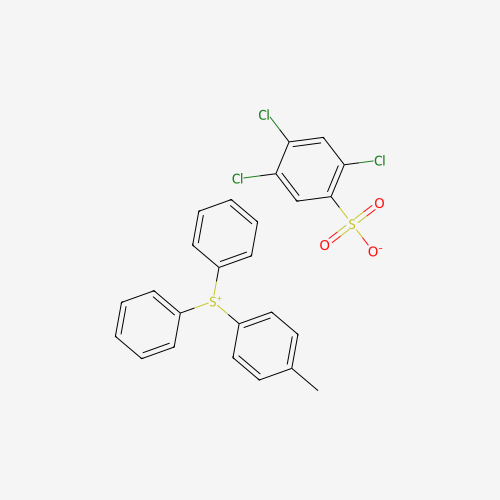 Cc1ccc([S+](c2ccccc2)c2ccccc2)cc1.O=S(=O)([O-])c1cc(Cl)c(Cl)cc1Cl